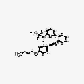 CCCCOc1ccc(C#Cc2ccccc2-c2cccc(OC(C)(C)C)n2)cc1